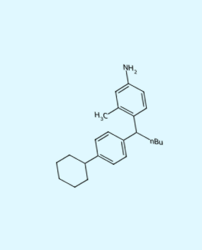 CCCCC(c1ccc(C2CCCCC2)cc1)c1ccc(N)cc1C